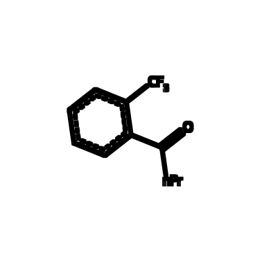 [CH2]CCC(=O)c1ccccc1C(F)(F)F